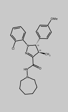 COc1ccc([C@@H]2[C@@H](C)C(C(=O)NN3CCCCCC3)=NN2c2ccccc2Cl)cc1